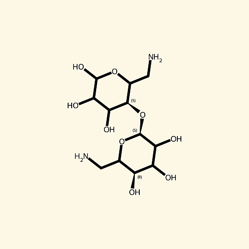 NCC1O[C@@H](O[C@@H]2C(CN)OC(O)C(O)C2O)C(O)C(O)[C@H]1O